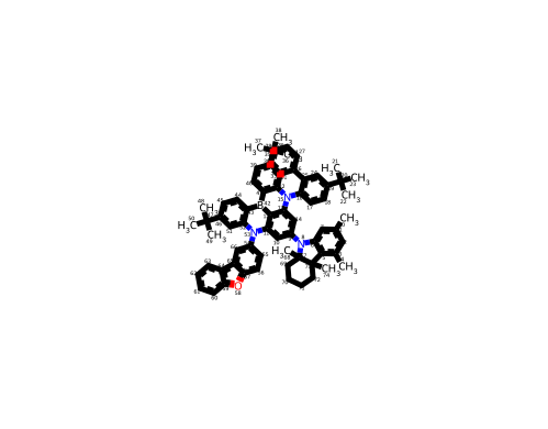 Cc1cc(C)c2c(c1)N(c1cc3c4c(c1)N(c1ccc(C(C)(C)C)cc1-c1ccccc1)c1cc(C(C)(C)C)ccc1B4c1ccc(C(C)(C)C)cc1N3c1ccc3oc4ccccc4c3c1)C1(C)CCCCC21C